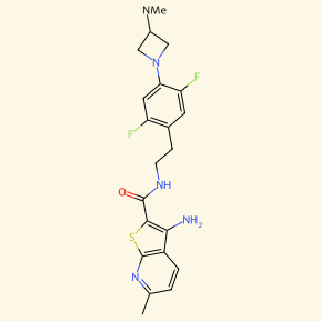 CNC1CN(c2cc(F)c(CCNC(=O)c3sc4nc(C)ccc4c3N)cc2F)C1